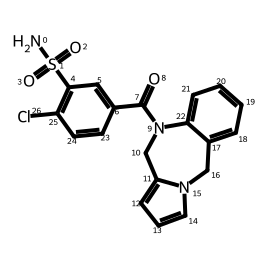 NS(=O)(=O)c1cc(C(=O)N2Cc3cccn3Cc3ccccc32)ccc1Cl